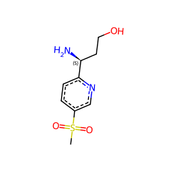 CS(=O)(=O)c1ccc([C@@H](N)CCO)nc1